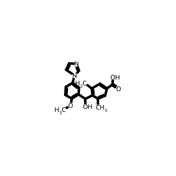 COc1ccc(-n2ccnc2)cc1C(O)c1c(C)cc(C(=O)O)cc1C